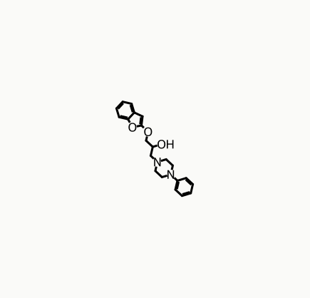 OC(COc1cc2ccccc2o1)CN1CCN(c2ccccc2)CC1